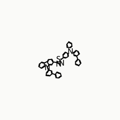 c1ccc(-c2cccc(N(c3ccccc3)c3ccc(-c4nnc(-c5ccc6c7ccccc7n(-c7cccc(-c8ccccc8)c7)c6c5)s4)cc3)c2)cc1